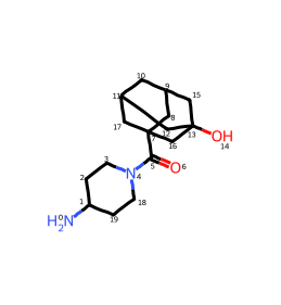 NC1CCN(C(=O)C23CC4CC(CC(O)(C4)C2)C3)CC1